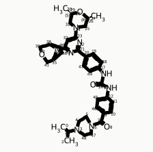 CC(C)N1CCN(C(=O)c2ccc(NC(=O)Nc3ccc(-c4nc(N5C[C@@H](C)O[C@@H](C)C5)cc(N5C6CCC5COC6)n4)cc3)cc2)CC1